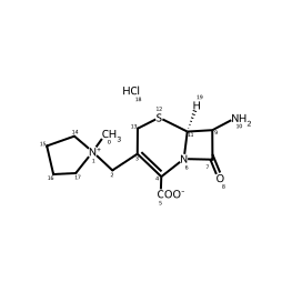 C[N+]1(CC2=C(C(=O)[O-])N3C(=O)C(N)[C@@H]3SC2)CCCC1.Cl